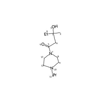 CCC(C)(O)CC(=O)N1CCN(C(C)C)CC1